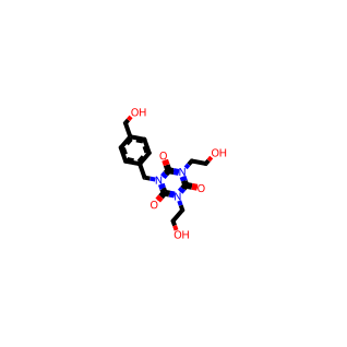 O=c1n(CCO)c(=O)n(Cc2ccc(CO)cc2)c(=O)n1CCO